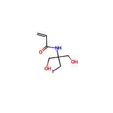 C=CC(=O)NC(CO)(CO)CI